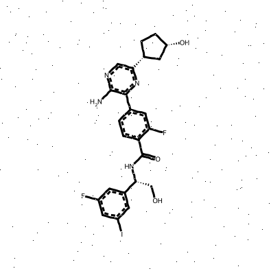 Nc1ncc([C@@H]2CC[C@H](O)C2)nc1-c1ccc(C(=O)N[C@H](CO)c2cc(F)cc(I)c2)c(F)c1